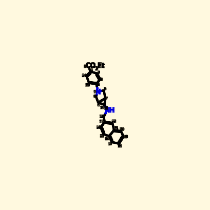 CCOC(=O)c1ccc(N2CC3C(C2)C3NCc2ccc3ccccc3c2)cc1